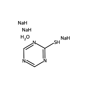 O.Sc1ncncn1.[NaH].[NaH].[NaH]